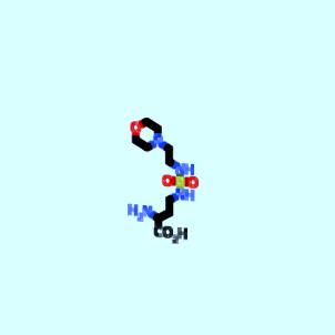 NC(CCNS(=O)(=O)NCCN1CCOCC1)C(=O)O